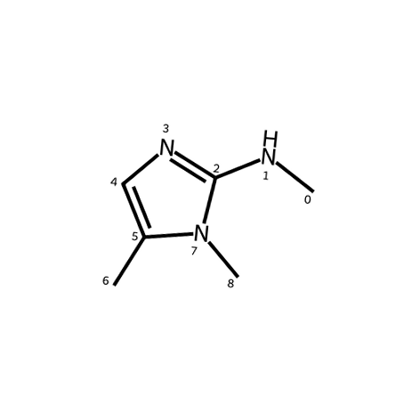 CNc1ncc(C)n1C